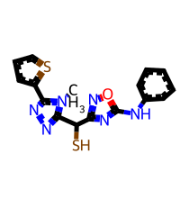 Cn1c(-c2cccs2)nnc1C(S)c1noc(Nc2ccccc2)n1